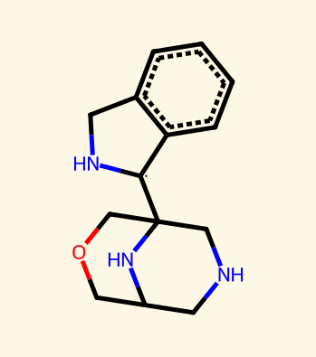 c1ccc2c(c1)CN[C]2C12CNCC(COC1)N2